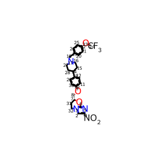 O=[N+]([O-])c1cn2c(n1)O[C@@H](COc1ccc(C3CCN(Cc4ccc(OC(F)(F)F)cc4)CC3)cc1)CC2